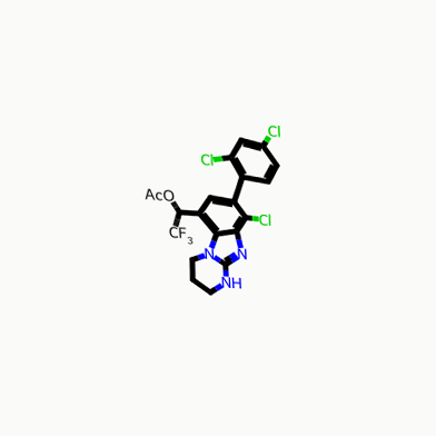 CC(=O)OC(c1cc(-c2ccc(Cl)cc2Cl)c(Cl)c2nc3n(c12)CCCN3)C(F)(F)F